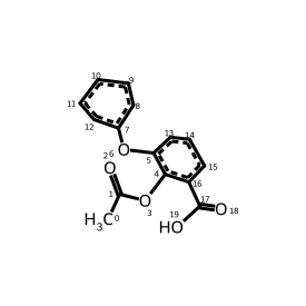 CC(=O)Oc1c(Oc2ccccc2)cccc1C(=O)O